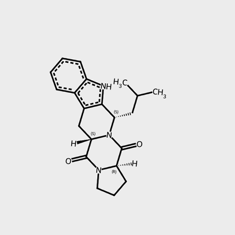 CC(C)C[C@H]1c2[nH]c3ccccc3c2C[C@H]2C(=O)N3CCC[C@@H]3C(=O)N21